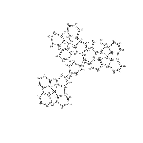 c1ccc(C2(c3ccccc3)c3ccccc3-c3cc(-c4ccc(N(c5ccc6c(c5)C(c5ccccc5)(c5ccccc5)c5ccccc5-6)c5ccc6c(c5)C(c5ccccc5)(c5ccccc5)c5ccccc5-6)cc4)ccc32)cc1